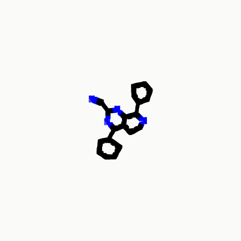 N#Cc1nc(-c2ccccc2)c2ccnc(-c3ccccc3)c2n1